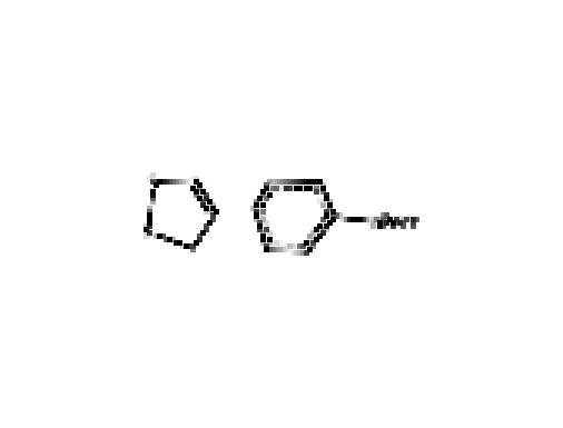 C1=CSSC1.CCCCCc1ccccc1